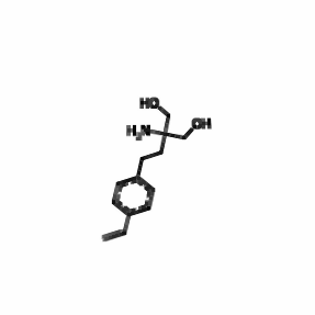 C=Cc1ccc(CCC(N)(CO)CO)cc1